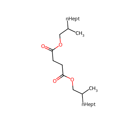 CCCCCCCC(C)COC(=O)CCC(=O)OCC(C)CCCCCCC